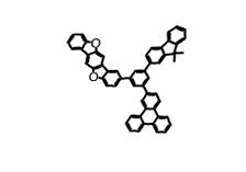 CC1(C)c2ccccc2-c2ccc(-c3cc(-c4ccc5oc6cc7c(cc6c5c4)oc4ccccc47)cc(-c4ccc5c6ccccc6c6ccccc6c5c4)c3)cc21